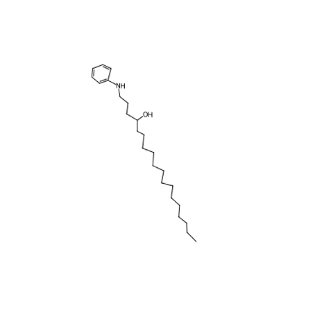 CCCCCCCCCCCCCCC(O)CCCNc1ccccc1